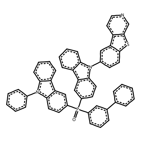 O=P(c1cccc(-c2ccccc2)c1)(c1ccc2c(c1)c1ccccc1n2-c1ccccc1)c1ccc2c(c1)c1ccccc1n2-c1ccc2sc3cnccc3c2c1